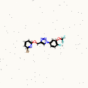 Fc1ccc(-n2cc(COc3cccc(Br)n3)nn2)cc1OC(F)F